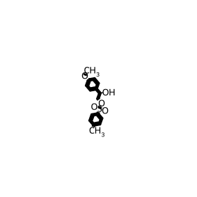 COc1ccc([C@H](O)COS(=O)(=O)c2ccc(C)cc2)cc1